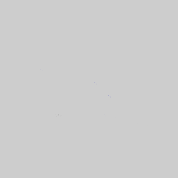 COc1cc2c(Nc3ccc(Cl)cc3F)ncnc2cc1OCCN1CCOCC1.Cl